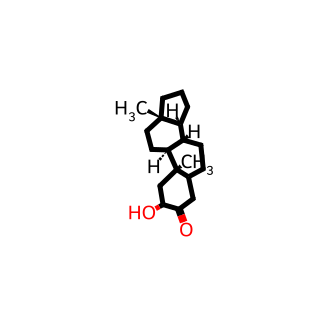 C[C@@]12CCC[C@H]1[C@@H]1CCC3CC(=O)C(O)C[C@]3(C)[C@H]1CC2